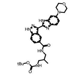 CC(CNC(=O)OC(C)(C)C)CNC(=O)c1ccc2[nH]nc(-c3nc4ccc(N5CCOCC5)cc4[nH]3)c2c1